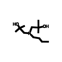 CCCCN(CC(C)(C)O)CC(C)(C)O